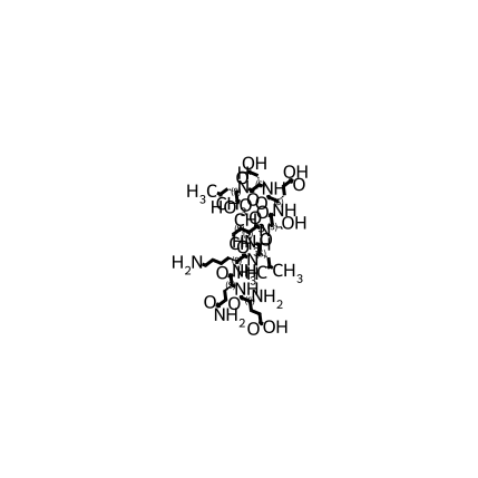 CC[C@H](C)[C@H](NC(=O)[C@H](CC(C)C)NC(=O)[C@H](CCCCN)NC(=O)[C@H](CCC(N)=O)NC(=O)[C@@H](N)CCC(=O)O)C(=O)N[C@@H](CO)C(=O)N[C@@H](CCC(=O)O)C(=O)N[C@@H](CC(=O)O)C(=O)N[C@@H](CC(C)C)C(=O)O